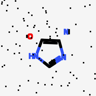 [N].[O].c1c[nH]cn1